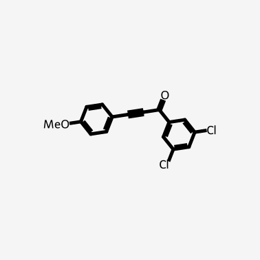 COc1ccc(C#CC(=O)c2cc(Cl)cc(Cl)c2)cc1